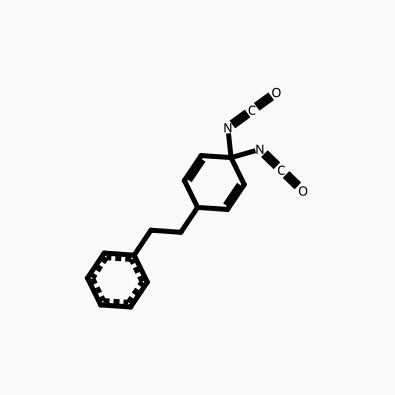 O=C=NC1(N=C=O)C=CC(CCc2ccccc2)C=C1